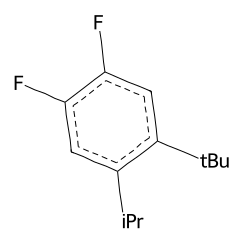 CC(C)c1cc(F)c(F)cc1C(C)(C)C